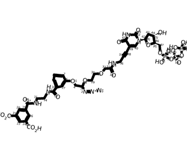 [N-]=[N+]=NC(COc1cccc(C(=O)NCCNC(=O)c2cc(C(=O)O)cc(C(=O)O)c2)c1)OCCOCC(=O)NCC#Cc1cn([C@H]2C[C@H](O)[C@@H](COP(=O)(O)OP(=O)(O)OP(=O)(O)O)O2)c(=O)[nH]c1=O